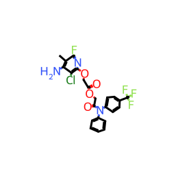 Cc1c(F)nc(OCC(=O)OCC(=O)N(c2ccccc2)c2ccc(C(F)(F)F)cc2)c(Cl)c1N